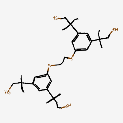 CC(C)(CS)c1cc(SCCSc2cc(C(C)(C)CS)cc(C(C)(C)CS)c2)cc(C(C)(C)CS)c1